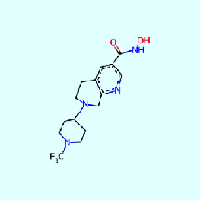 O=C(NO)c1cnc2c(c1)CCN(C1CCN(C(F)(F)F)CC1)C2